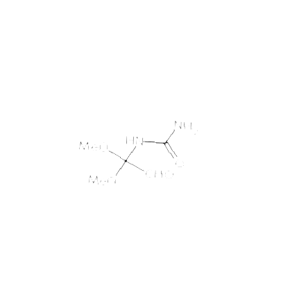 COC(C=O)(NC(N)=O)OC